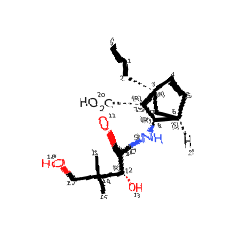 C=CC[C@]12C=C[C@H](C1)[C@@H](NC(=O)[C@H](O)C(C)(C)CO)[C@@H]2C(=O)O